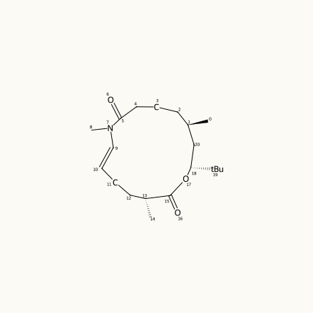 C[C@@H]1CCCC(=O)N(C)/C=C/CC[C@@H](C)C(=O)O[C@@H](C(C)(C)C)C1